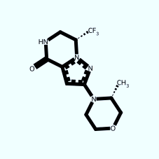 C[C@@H]1COCCN1c1cc2n(n1)[C@@H](C(F)(F)F)CNC2=O